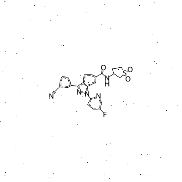 N#Cc1cccc(-c2nn(-c3ccc(F)cn3)c3cc(C(=O)NC4CCS(=O)(=O)C4)ccc23)c1